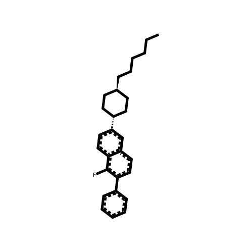 CCCCCC[C@H]1CC[C@H](c2ccc3c(F)c(-c4ccccc4)ccc3c2)CC1